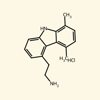 Cc1ccc(C)c2c1[nH]c1cccc(CCN)c12.Cl